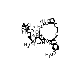 CCC1C[C@]1(NC(=O)[C@@H]1[C@H](CC)[C@@H]2CN1C(=O)CNC(=O)O[C@]1(C)CCC[C@H]1CCCCCc1nc3ccc(OC)cc3nc1O2)C(=O)NS(=O)(=O)C1(C)CC1